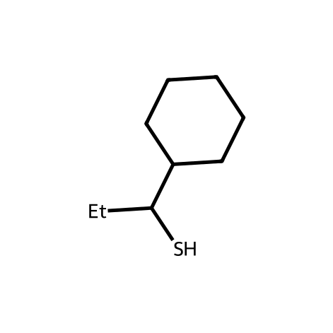 [CH2]CC(S)C1CCCCC1